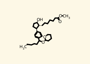 CCCCCC(OC1CCCCO1)c1ccc([C@H]2CC[C@H](O)[C@@H]2CCCCCCC(=O)OC)cc1